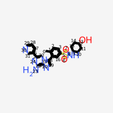 Cc1ccc(S(=O)(=O)NC2CCC(O)CC2)cc1-c1cnc2c(N)nc(-c3cccnc3)cn12